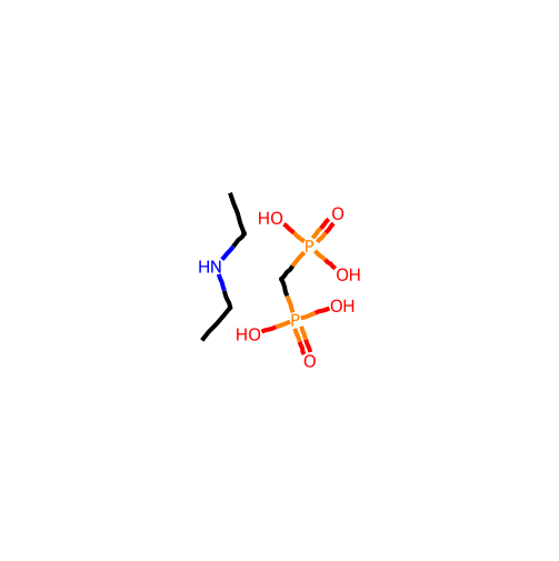 CCNCC.O=P(O)(O)CP(=O)(O)O